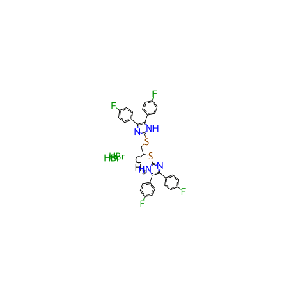 Br.Br.CC(CSc1nc(-c2ccc(F)cc2)c(-c2ccc(F)cc2)[nH]1)Sc1nc(-c2ccc(F)cc2)c(-c2ccc(F)cc2)[nH]1